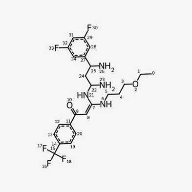 CCOCCCN/C(=C/C(=O)c1ccc(C(F)(F)F)cc1)NC(N)CC(N)c1cc(F)cc(F)c1